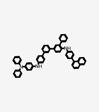 c1ccc(-c2cc(-c3cccc(-c4ccc(Nc5ccc(N(c6ccccc6)c6ccccc6)cc5)cc4)c3)ccc2Nc2ccc(-c3cccc4ccccc34)cc2)cc1